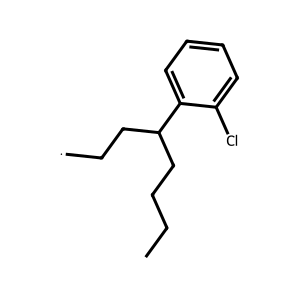 [CH2]CCC(CCCC)c1ccccc1Cl